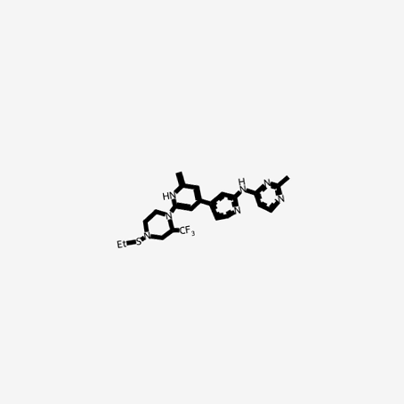 C=C1C=C(c2ccnc(Nc3ccnc(C)n3)c2)C=C(N2CCN(SCC)CC2C(F)(F)F)N1